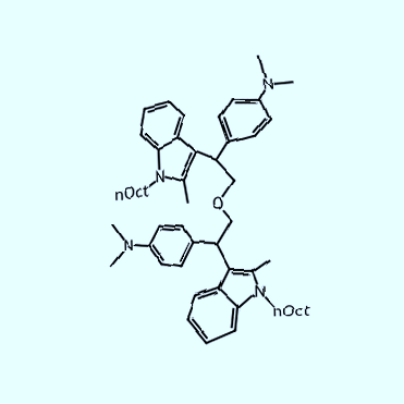 CCCCCCCCn1c(C)c(C(COCC(c2ccc(N(C)C)cc2)c2c(C)n(CCCCCCCC)c3ccccc23)c2ccc(N(C)C)cc2)c2ccccc21